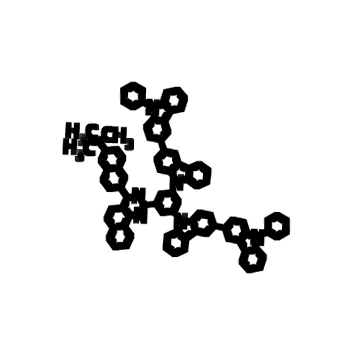 CC(C)(C)c1ccc2cc(-c3nc(-c4cc(-n5c6ccccc6c6cc(-c7ccc8c(c7)c7ccccc7n8-c7ccccc7)ccc65)cc(-n5c6ccccc6c6cc(-c7ccc8c(c7)c7ccccc7n8-c7ccccc7)ccc65)c4)nc4c3ccc3ccccc34)ccc2c1